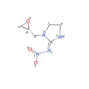 O=[N+]([O-])N=C1NCCN1C[C@@H]1CO1